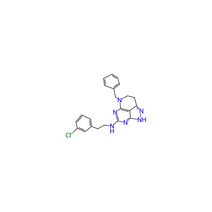 Clc1cccc(CCNc2nc3c4c(n[nH]c4n2)CCN3Cc2ccccc2)c1